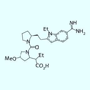 CCC(C(=O)O)C1CC(OC)CN1C(=O)N1CCC[C@H]1CCc1cc2ccc(C(=N)N)cc2n1CC